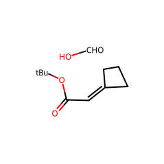 CC(C)(C)OC(=O)C=C1CCC1.O=CO